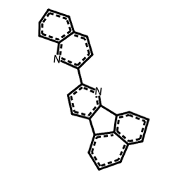 c1ccc2nc(-c3ccc4c(n3)-c3cccc5cccc-4c35)ccc2c1